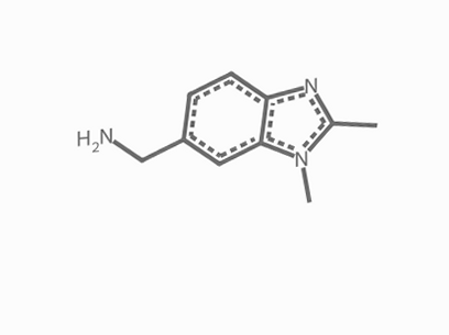 Cc1nc2ccc(CN)cc2n1C